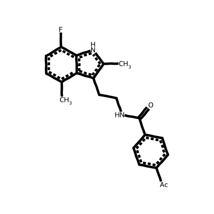 CC(=O)c1ccc(C(=O)NCCc2c(C)[nH]c3c(F)ccc(C)c23)cc1